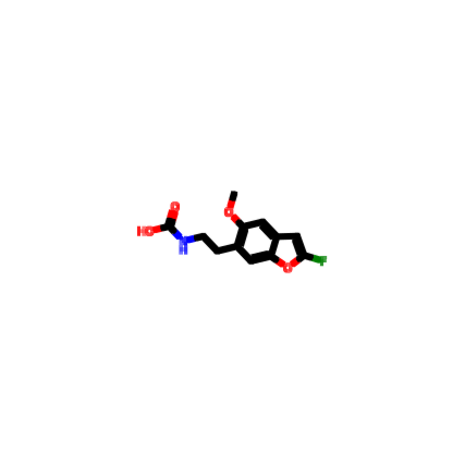 COc1cc2cc(F)oc2cc1CCNC(=O)O